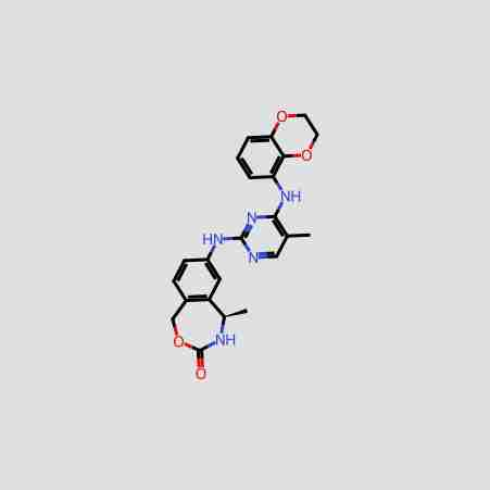 Cc1cnc(Nc2ccc3c(c2)[C@@H](C)NC(=O)OC3)nc1Nc1cccc2c1OCCO2